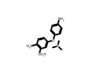 CN(C)C.Nc1ccc(Oc2ccc(N)c(S(=O)(=O)O)c2)cc1